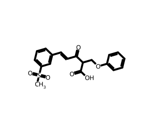 CS(=O)(=O)c1cccc(C=CC(=O)C(COc2ccccc2)C(=O)O)c1